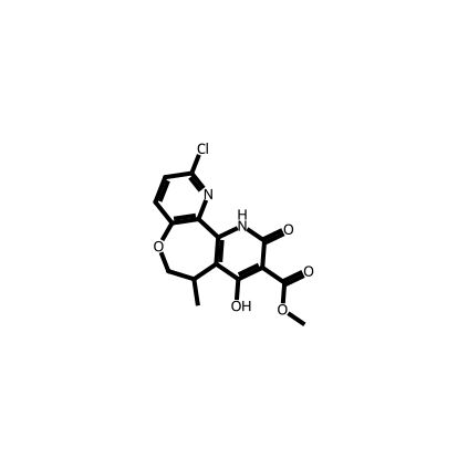 COC(=O)c1c(O)c2c([nH]c1=O)-c1nc(Cl)ccc1OCC2C